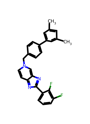 Cc1cc(C)cc(-c2ccc(Cn3ccc4nc(-c5cccc(F)c5F)nc-4c3)cc2)c1